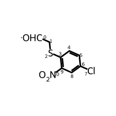 O=[C]CSc1ccc(Cl)cc1[N+](=O)[O-]